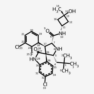 CC(C)(C)C[C@H]1N[C@@H](C(=O)N[C@H]2C[C@@](C)(O)C2)[C@H](C2C=CC=C(Cl)C2F)[C@@]12C(=O)Nc1cc(Cl)ccc12